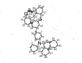 c1ccc(N(c2ccc(-c3ccc4c(c3)Sc3ccccc3C43c4ccccc4Oc4ccccc43)cc2)c2cc3ccccc3c3ccccc23)cc1